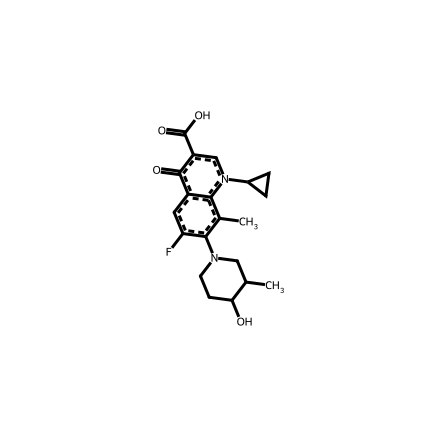 Cc1c(N2CCC(O)C(C)C2)c(F)cc2c(=O)c(C(=O)O)cn(C3CC3)c12